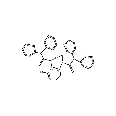 CC[C@H]1[C@H](C(=O)O)N(C(=O)C(c2ccccc2)c2ccccc2)CCN1C(=O)C(c1ccccc1)c1ccccc1